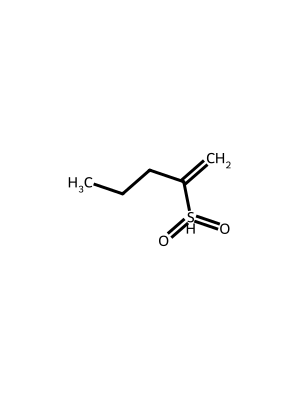 C=C(CCC)[SH](=O)=O